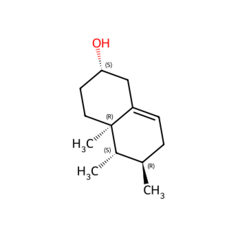 C[C@@H]1CC=C2C[C@@H](O)CC[C@]2(C)[C@H]1C